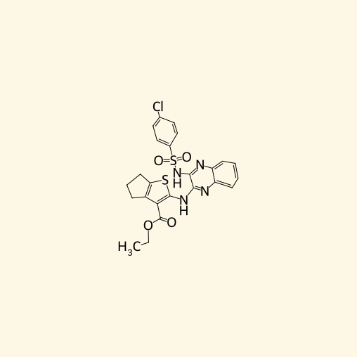 CCOC(=O)c1c(Nc2nc3ccccc3nc2NS(=O)(=O)c2ccc(Cl)cc2)sc2c1CCC2